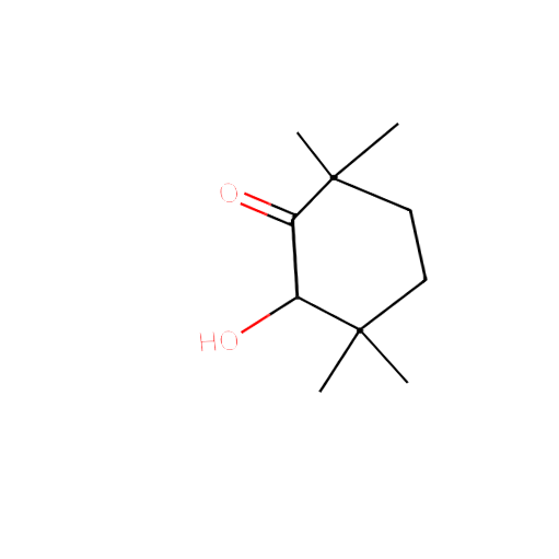 CC1(C)CCC(C)(C)C(O)C1=O